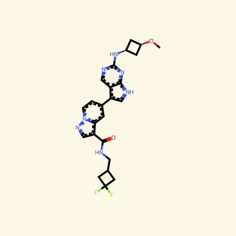 CO[C@H]1C[C@@H](Nc2ncc3c(-c4ccn5ncc(C(=O)NCC6CC(F)(F)C6)c5c4)c[nH]c3n2)C1